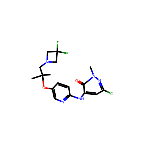 Cn1nc(Cl)cc(Nc2ccc(OC(C)(C)CN3CC(F)(F)C3)cn2)c1=O